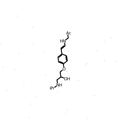 CC(=O)CNC=Cc1ccc(OCC(O)CNC(C)C)cc1